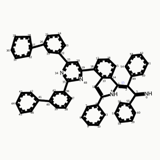 N=C(/C(=C1\NC(c2ccccc2)=Cc2c1cccc2-c1cc(-c2cccc(-c3ccccc3)c2)nc(-c2cccc(-c3ccccc3)c2)n1)c1ccccc1)c1ccccc1